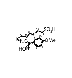 COc1ccc(C(=NO)C(F)(F)F)cc1.O=S(=O)(O)CCSCCCO